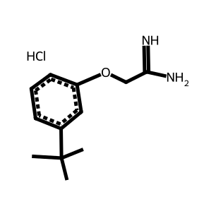 CC(C)(C)c1cccc(OCC(=N)N)c1.Cl